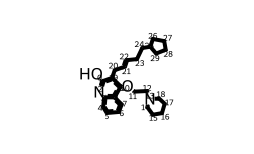 Oc1nc2ccccc2c(OCCN2CCCCC2)c1C/C=C/CCC1CCCC1